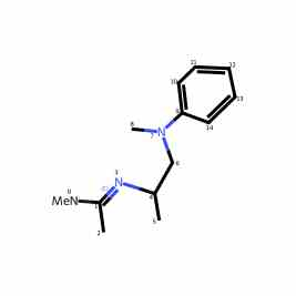 CN/C(C)=N/C(C)CN(C)c1ccccc1